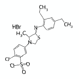 Br.CCc1ccc(N=C2SCN(c3ccc(Cl)c(S(=O)(=O)Cl)c3)C2C)c(CC)c1